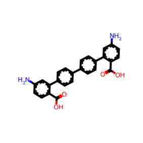 Nc1ccc(C(=O)O)c(-c2ccc(-c3ccc(-c4cc(N)ccc4C(=O)O)cc3)cc2)c1